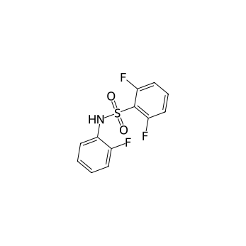 O=S(=O)(Nc1ccccc1F)c1c(F)cccc1F